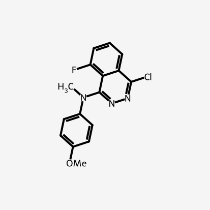 COc1ccc(N(C)c2nnc(Cl)c3cccc(F)c23)cc1